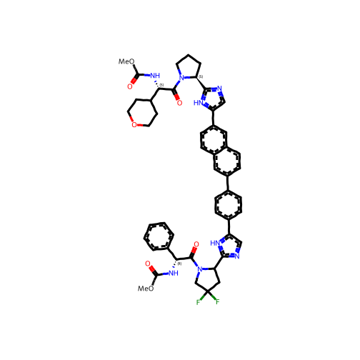 COC(=O)N[C@H](C(=O)N1CCC[C@H]1c1ncc(-c2ccc3cc(-c4ccc(-c5cnc(C6CC(F)(F)CN6C(=O)[C@H](NC(=O)OC)c6ccccc6)[nH]5)cc4)ccc3c2)[nH]1)C1CCOCC1